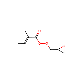 CC=C(C)C(=O)OOCC1CO1